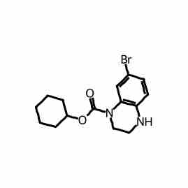 O=C(OC1CCCCC1)N1CCNc2ccc(Br)cc21